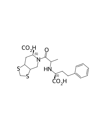 CC(N[C@@H](CCc1ccccc1)C(=O)O)C(=O)N1CC2SCSC2C[C@H]1C(=O)O